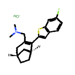 CN(C)CC1=C(c2cc3ccc(F)cc3s2)[C@H]2CC[C@H](C1)C2.Cl